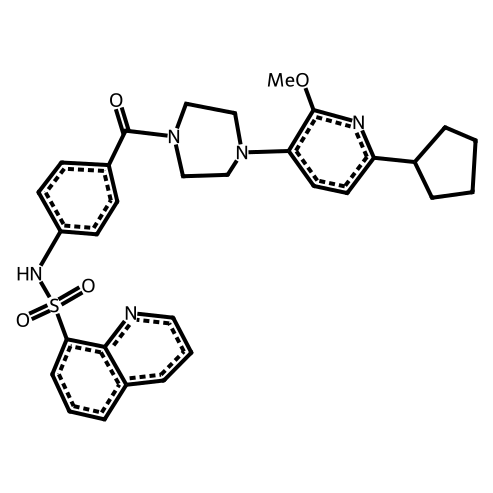 COc1nc(C2CCCC2)ccc1N1CCN(C(=O)c2ccc(NS(=O)(=O)c3cccc4cccnc34)cc2)CC1